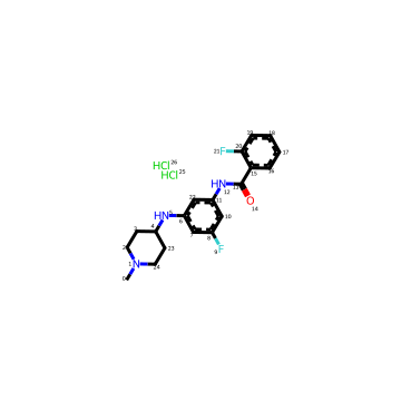 CN1CCC(Nc2cc(F)cc(NC(=O)c3ccccc3F)c2)CC1.Cl.Cl